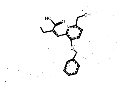 CCC(=Cc1nc(CO)ccc1OCc1ccccc1)C(=O)O